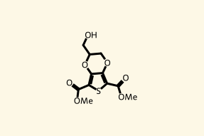 COC(=O)c1sc(C(=O)OC)c2c1OCC(CO)O2